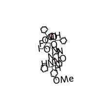 C#C[C@]1(OC(=O)c2ccccc2)[C@H](n2cnc3c(=O)[nH]c(NC(c4ccccc4)(c4ccccc4)c4ccc(OC)cc4)nc32)O[C@](F)(CI)[C@H]1OC(=O)c1ccccc1